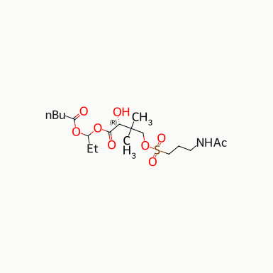 CCCCC(=O)OC(CC)OC(=O)[C@H](O)C(C)(C)COS(=O)(=O)CCCNC(C)=O